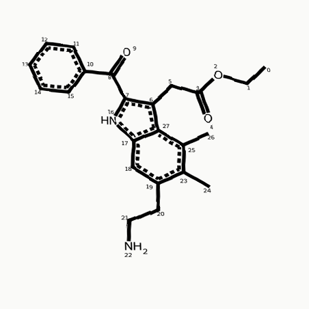 CCOC(=O)Cc1c(C(=O)c2ccccc2)[nH]c2cc(CCN)c(C)c(C)c12